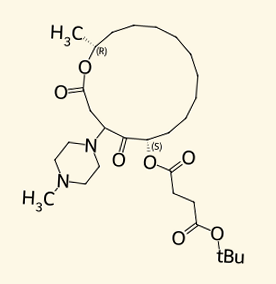 C[C@@H]1CCCCCCCCC[C@H](OC(=O)CCC(=O)OC(C)(C)C)C(=O)C(N2CCN(C)CC2)CC(=O)O1